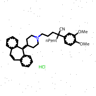 CCCCCC(C#N)(CCCN1CCC(=C2c3ccccc3C=Cc3ccccc32)CC1)c1ccc(OC)c(OC)c1.Cl